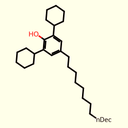 CCCCCCCCCCCCCCCCCCc1cc(C2CCCCC2)c(O)c(C2CCCCC2)c1